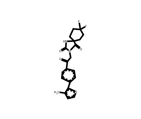 Cc1ccsc1-c1ccc(C(=O)CN2C(=O)NC3(CCC(F)(F)CC3)C2=O)cc1